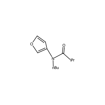 CCCCN(C(=O)C(C)C)c1ccoc1